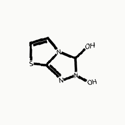 OC1N(O)N=C2SC=CN21